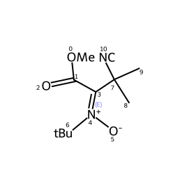 COC(=O)/C(=[N+](/[O-])C(C)(C)C)C(C)(C)C#N